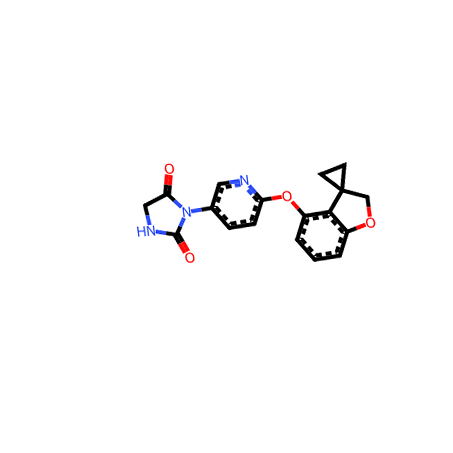 O=C1CNC(=O)N1c1ccc(Oc2cccc3c2C2(CC2)CO3)nc1